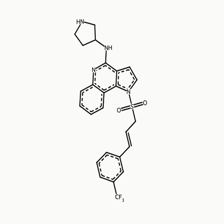 O=S(=O)(CC=Cc1cccc(C(F)(F)F)c1)n1ccc2c(NC3CCNC3)nc3ccccc3c21